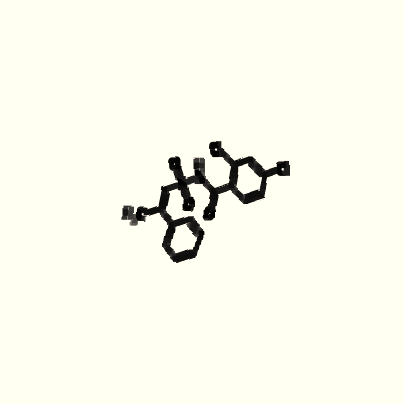 CC(=CS(=O)(=O)NC(=O)c1ccc(Cl)cc1Cl)c1ccccc1